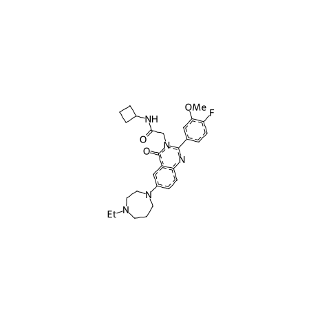 CCN1CCCN(c2ccc3nc(-c4ccc(F)c(OC)c4)n(CC(=O)NC4CCC4)c(=O)c3c2)CC1